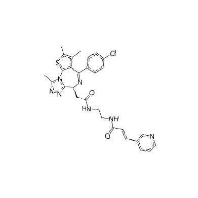 Cc1sc2c(c1C)C(c1ccc(Cl)cc1)=N[C@@H](CC(=O)NCCNC(=O)/C=C/c1cccnc1)c1nnc(C)n1-2